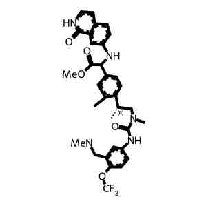 CNCc1cc(NC(=O)N(C)C[C@H](C)c2ccc(C(Nc3ccc4cc[nH]c(=O)c4c3)C(=O)OC)cc2C)ccc1OC(F)(F)F